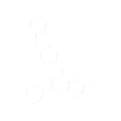 Oc1cnc2cc(N3CCOCC3)nc(O[C@H]3CC[C@@H](Nc4ncccn4)CC3)c2c1